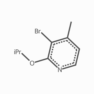 Cc1ccnc(OC(C)C)c1Br